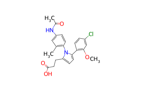 COc1cc(Cl)ccc1-c1ccc(CCC(=O)O)n1-c1ccc(NC(C)=O)cc1C